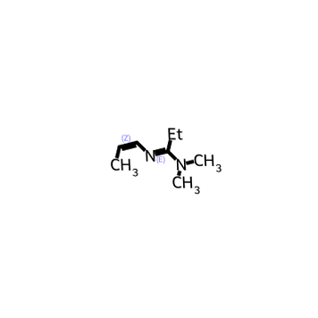 C/C=C\N=C(/CC)N(C)C